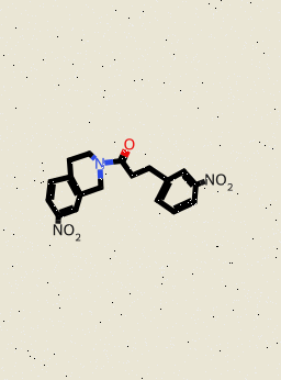 O=C(CCc1cccc([N+](=O)[O-])c1)N1CCc2ccc([N+](=O)[O-])cc2C1